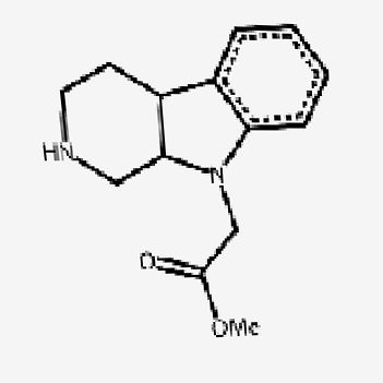 COC(=O)CN1c2ccccc2C2CCNCC21